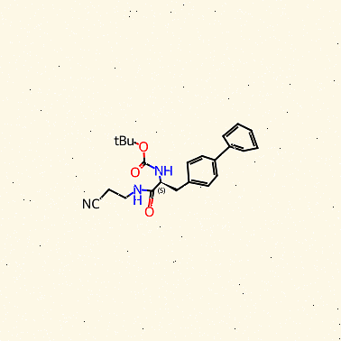 CC(C)(C)OC(=O)N[C@@H](Cc1ccc(-c2ccccc2)cc1)C(=O)NCCC#N